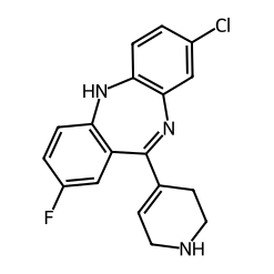 Fc1ccc2c(c1)C(C1=CCNCC1)=Nc1cc(Cl)ccc1N2